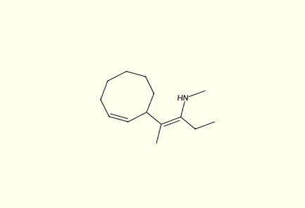 CC/C(NC)=C(\C)C1/C=C\CCCCC1